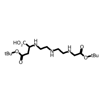 CC(C)(C)OC(=O)CNCCNCCNC(CC(=O)OC(C)(C)C)C(=O)O